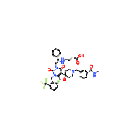 CNC(=O)c1cccc(CN2CCC3(CC2)OCc2c3c(=O)n(C[C@H](NCCCC(=O)O)c3ccccc3)c(=O)n2Cc2c(F)cccc2C(F)(F)F)c1